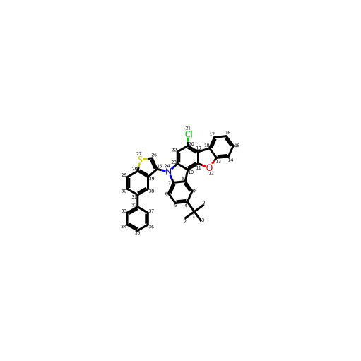 CC(C)(C)c1ccc2c(c1)c1c3oc4ccccc4c3c(Cl)cc1n2-c1csc2ccc(-c3ccccc3)cc12